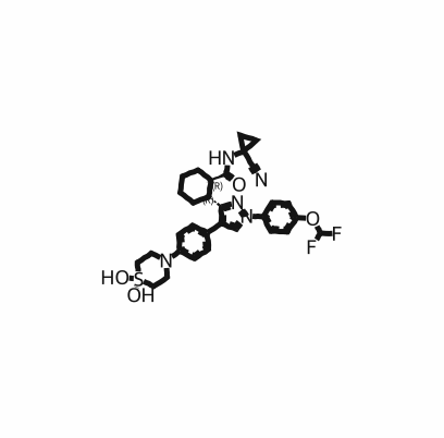 N#CC1(NC(=O)[C@@H]2CCCC[C@H]2c2nn(-c3ccc(OC(F)F)cc3)cc2-c2ccc(N3CCS(O)(O)CC3)cc2)CC1